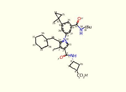 Cc1c(C(=O)N[C@H]2C[C@H](C(=O)O)C2)cn(-c2cc(C(=O)NC(C)(C)C)cc(C3(C)CC3)c2)c1CC1CCCCC1